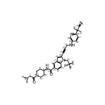 CN(C)CC(=O)N1CCC(NC(=O)c2ccc3c(c2)cc(C#CCNc2ccc(C(C)(C)C#N)nc2)n3CC(F)(F)F)CC1